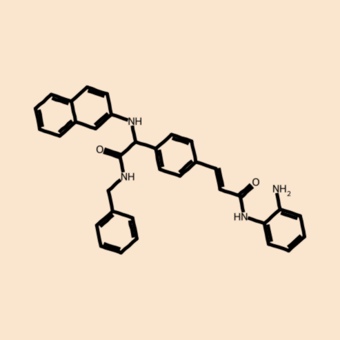 Nc1ccccc1NC(=O)/C=C/c1ccc(C(Nc2ccc3ccccc3c2)C(=O)NCc2ccccc2)cc1